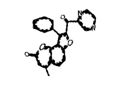 Cc1cc(=O)oc2c1ccc1oc(C(=O)c3cnccn3)c(-c3ccccc3)c12